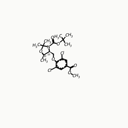 COC(=O)c1cc(Cl)c(OC[C@H]2[C@@H](C)OC(C)(C)N2C(=O)OC(C)(C)C)c(Cl)c1